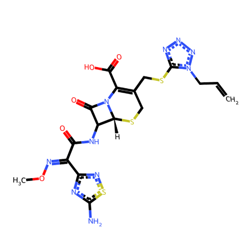 C=CCn1nnnc1SCC1=C(C(=O)O)N2C(=O)C(NC(=O)/C(=N/OC)c3nsc(N)n3)[C@H]2SC1